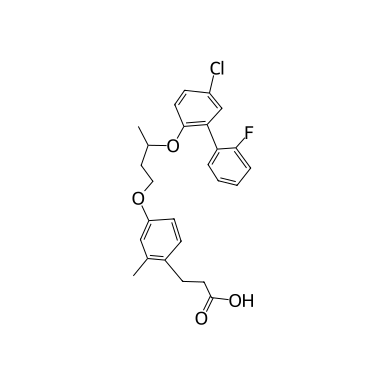 Cc1cc(OCCC(C)Oc2ccc(Cl)cc2-c2ccccc2F)ccc1CCC(=O)O